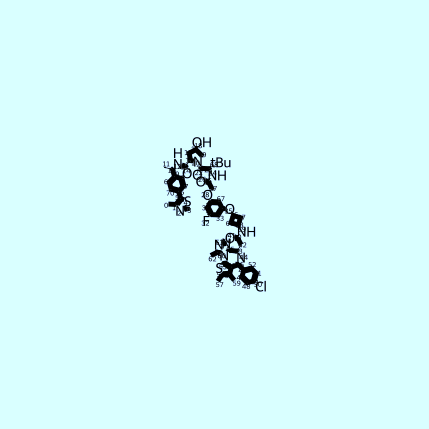 Cc1ncsc1-c1ccc([C@H](C)NC(=O)[C@@H]2C[C@@H](O)CN2C(=O)[C@@H](NC(=O)COc2cc(F)cc(O[C@H]3C[C@H](NC(=O)C[C@@H]4N=C(c5ccc(Cl)cc5)c5c(sc(C)c5C)-n5c(C)nnc54)C3)c2)C(C)(C)C)cc1